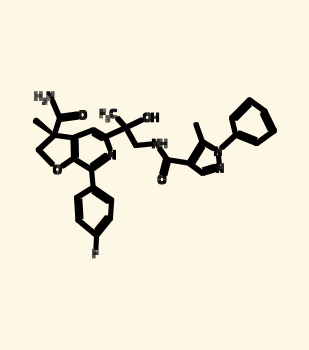 Cc1c(C(=O)NCC(O)(c2cc3c(c(-c4ccc(F)cc4)n2)OC[C@]3(C)C(N)=O)C(F)(F)F)cnn1-c1ccccc1